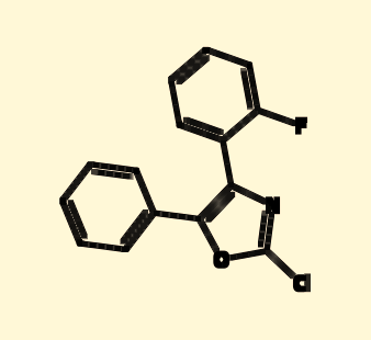 Fc1ccccc1-c1nc(Cl)oc1-c1ccccc1